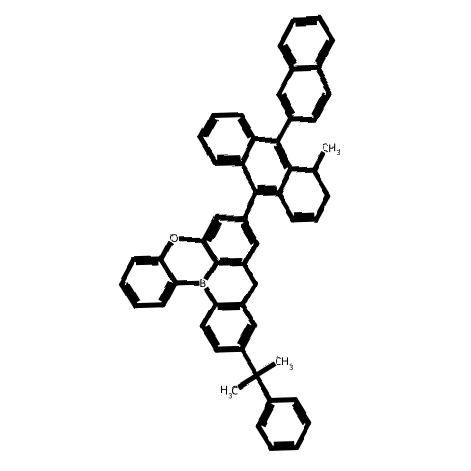 CC1CC=Cc2c1c(-c1ccc3ccccc3c1)c1ccccc1c2-c1cc2c3c(c1)Oc1ccccc1B3c1ccc(C(C)(C)c3ccccc3)cc1C2